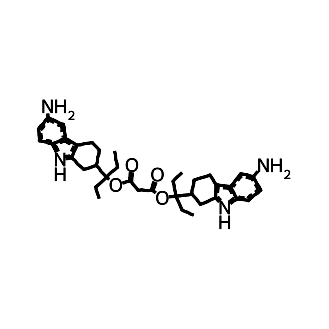 CCC(CC)(OC(=O)CC(=O)OC(CC)(CC)C1CCc2c([nH]c3ccc(N)cc23)C1)C1CCc2c([nH]c3ccc(N)cc23)C1